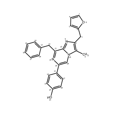 Cc1c(Cc2ccco2)nc2c(Cc3ccccc3)nc(-c3ccc(O)cc3)cn12